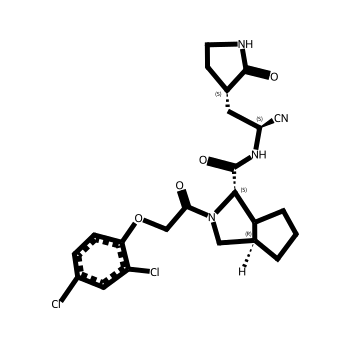 N#C[C@H](C[C@@H]1CCNC1=O)NC(=O)[C@@H]1C2CCC[C@H]2CN1C(=O)COc1ccc(Cl)cc1Cl